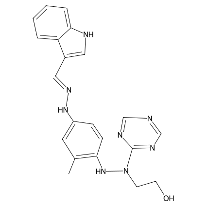 Cc1cc(NN=Cc2c[nH]c3ccccc23)ccc1NN(CCO)c1ncncn1